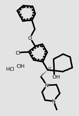 CN1CCN(C[C@H](c2ccc(OCc3ccccc3)c(Cl)c2)C2(O)CCCCC2)CC1.Cl.Cl